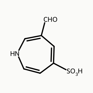 O=CC1=CNC=CC(S(=O)(=O)O)=C1